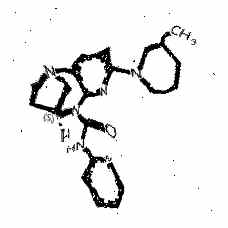 CC1CCCN(c2ccc3c(n2)N(C(=O)Nc2ccccn2)[C@H]2CCN3C2)C1